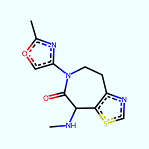 CNC1C(=O)N(c2coc(C)n2)CCc2ncsc21